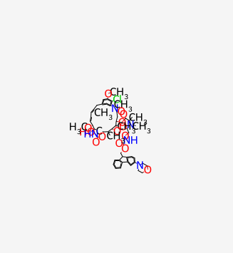 COc1cc2cc(c1Cl)N(C)C(=O)CC(OC(=O)C(C)N(C)C(=O)CONC(=O)OCC1c3ccccc3-c3cc(N4CCOCC4)ccc31)C1(C)OC1C(C)C1CC(O)(NC(=O)O1)C(OC)/C=C/C=C(\C)C2